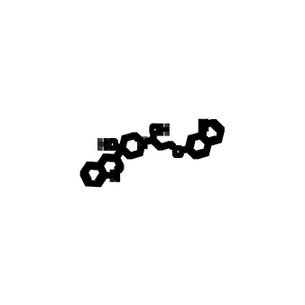 OC(CCOc1ccc2cccnc2c1)N1CCC(O)(c2cnc3ccccc3c2)CC1